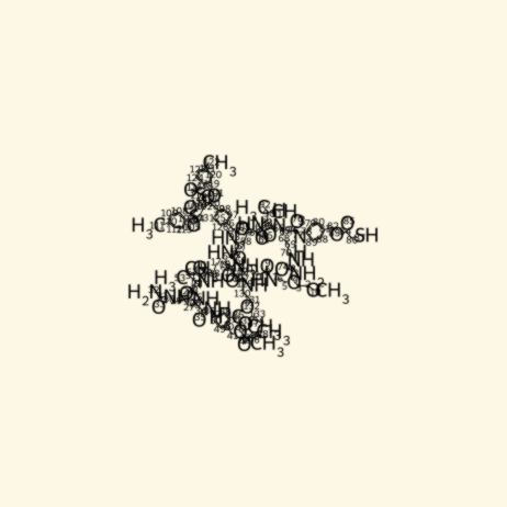 COCCOCCNC(=O)CC[C@H](NC(=O)[C@H](CCC(=O)N[C@H](C(=O)N[C@@H](CCCNC(N)=O)C(=O)Nc1ccc(COC(=O)C(C)(C)C)cc1)C(C)C)NC(=O)[C@H](CCC(=O)N[C@H](C(=O)N[C@@H](CCCNC(N)=O)C(=O)Nc1ccc(COC(=O)CS)cc1)C(C)C)NC(=O)c1ccc(C(=O)C(CS(=O)(=O)c2ccc(C)cc2)CS(=O)(=O)c2ccc(C)cc2)cc1)C(=O)NCCOCCOC